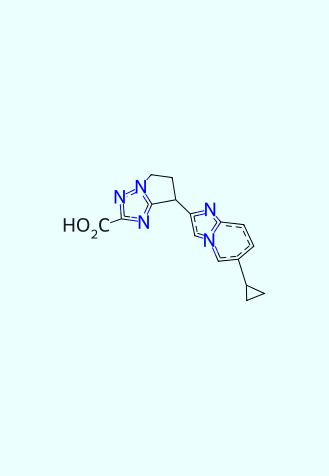 O=C(O)c1nc2n(n1)CCC2c1cn2cc(C3CC3)ccc2n1